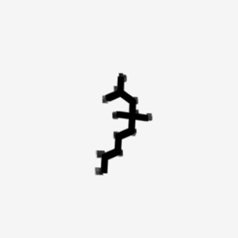 [CH2]C(C)CC(C)(C)CCCCC